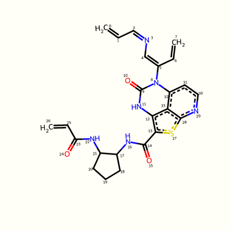 C=C/C=N\C=C(/C=C)N1C(=O)Nc2c(C(=O)NC3CCCC3NC(=O)C=C)sc3nccc1c23